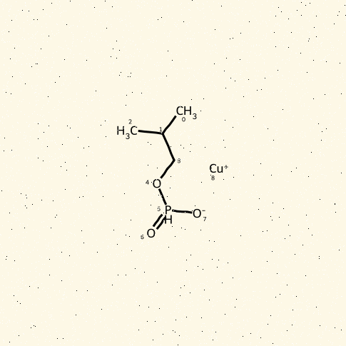 CC(C)CO[PH](=O)[O-].[Cu+]